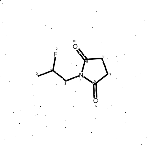 CC(F)CN1C(=O)CCC1=O